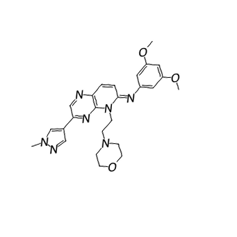 COc1cc(/N=c2\ccc3ncc(-c4cnn(C)c4)nc3n2CCN2CCOCC2)cc(OC)c1